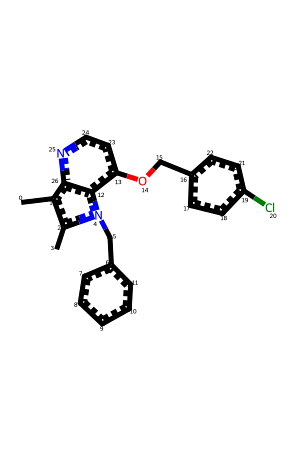 Cc1c(C)n(Cc2ccccc2)c2c(OCc3ccc(Cl)cc3)ccnc12